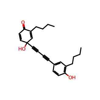 CCCCC1=CC(O)(C#CC#Cc2ccc(O)c(CCCC)c2)C=CC1=O